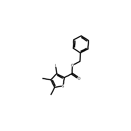 Cc1sc(C(=O)OCc2ccccc2)c(I)c1C